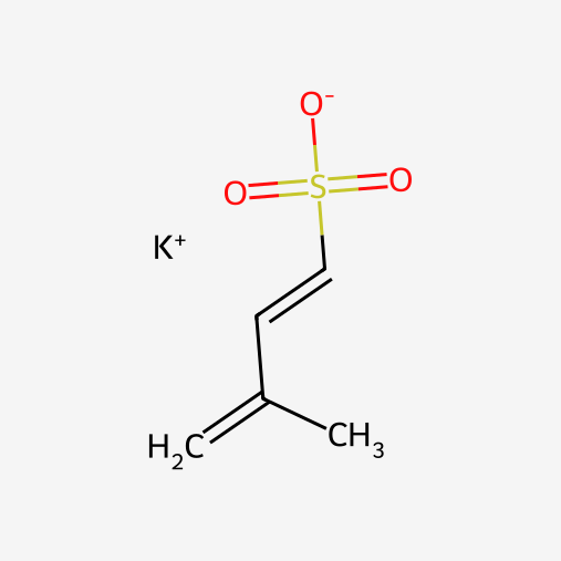 C=C(C)C=CS(=O)(=O)[O-].[K+]